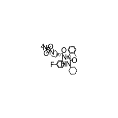 Cc1ccccc1[C@@H](C(=O)NC1CCCCC1)N(C(=O)[C@@H]1CCN(S(=O)(=O)N2CC2)C1)c1cccc(F)c1